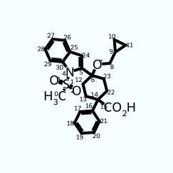 CS(=O)(=O)n1c(C2(OCC3CC3)CCC(C(=O)O)(c3ccccc3)CC2)cc2ccccc21